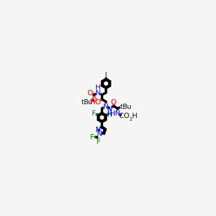 CC(C)(C)OC(=O)NC(Cc1ccc(I)cc1)C(O)CN(Cc1c(F)cc(-c2ccn(C(F)F)n2)cc1F)NC(=O)C(NC(=O)O)C(C)(C)C